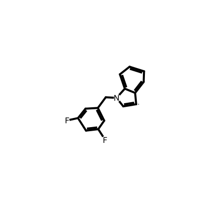 Fc1cc(F)cc(Cn2c[c]c3ccccc32)c1